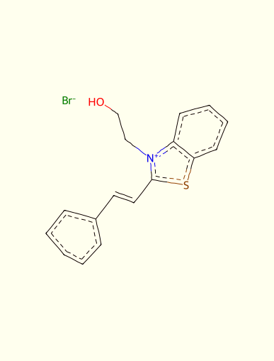 OCC[n+]1c(C=Cc2ccccc2)sc2ccccc21.[Br-]